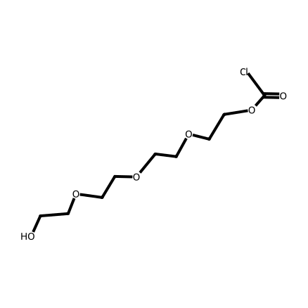 O=C(Cl)OCCOCCOCCOCCO